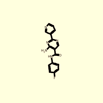 Nc1nc(-c2cccnc2)ncc1C(=O)Nc1ccc(F)cc1